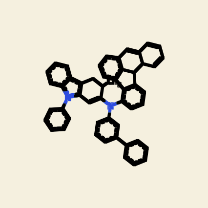 CC1Cc2c(n(-c3ccccc3)c3ccccc23)C=C1N(c1cccc(-c2ccccc2)c1)c1cccc2c1-c1cccc3c1C2C1C=CC=CC1=C3